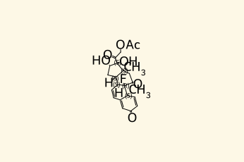 CC(=O)OCC(=O)[C@@]1(O)C(O)C[C@H]2[C@@H]3C=CC4=CC(=O)C=C[C@]4(C)[C@@]3(F)C(=O)C[C@@]21C